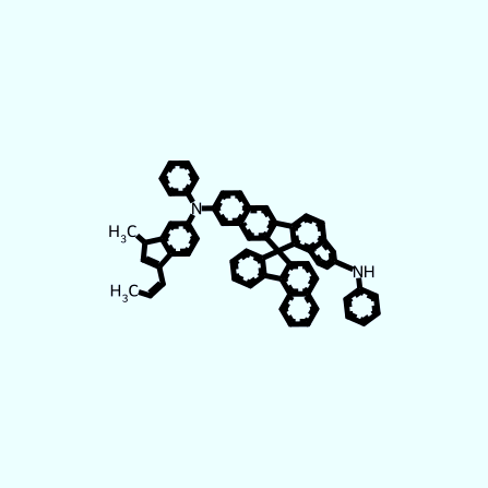 C/C=C\C1=CC(C)c2cc(N(c3ccccc3)c3ccc4cc5c(cc4c3)C3(c4ccccc4-c4c3ccc3ccccc43)c3c-5ccc4cc(Nc5ccccc5)ccc34)ccc21